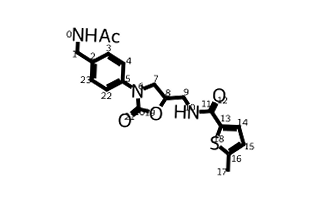 CC(=O)NCc1ccc(N2CC(CNC(=O)c3ccc(C)s3)OC2=O)cc1